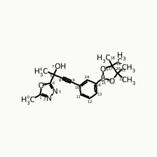 Cc1nnc(C(C)(O)C#Cc2cccc(B3OC(C)(C)C(C)(C)O3)c2)o1